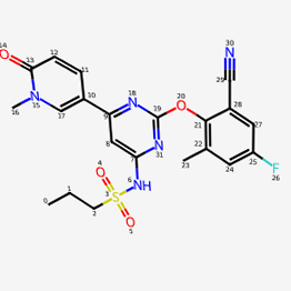 CCCS(=O)(=O)Nc1cc(-c2ccc(=O)n(C)c2)nc(Oc2c(C)cc(F)cc2C#N)n1